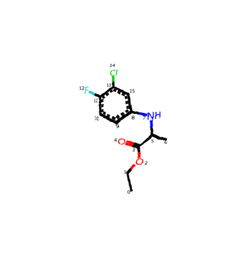 CCOC(=O)C(C)Nc1ccc(F)c(Cl)c1